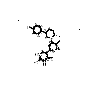 Cc1nnc(-c2c[nH]c(=O)[nH]c2=O)cc1N1CCCC(c2ccc(F)cc2)C1